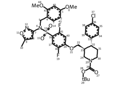 COc1ccc(CN(c2cc(C)on2)S(=O)(=O)c2cc(F)c(OC[C@@H]3CN(C(=O)OC(C)(C)C)CC[C@H]3c3ccc(Cl)cc3)cc2F)c(OC)c1